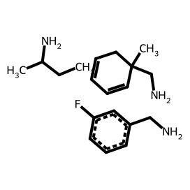 CC1(CN)C=CC=CC1.CCC(C)N.NCc1cccc(F)c1